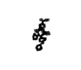 O=C(O)c1cc2[nH]c(-c3ccccc3)c(-c3ccc(Oc4ccccc4)cc3)c(=O)n2n1